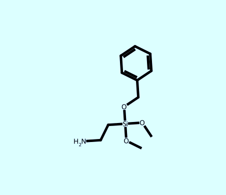 CO[Si](CCN)(OC)OCc1ccccc1